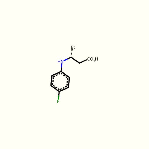 CC[C@H](CC(=O)O)Nc1ccc(F)cc1